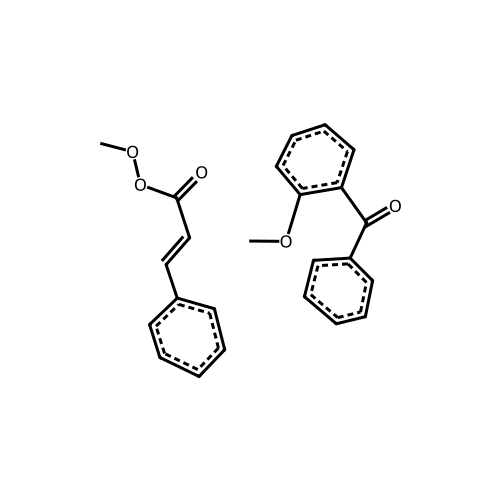 COOC(=O)C=Cc1ccccc1.COc1ccccc1C(=O)c1ccccc1